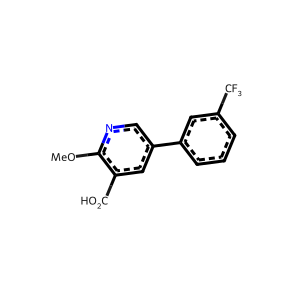 COc1ncc(-c2cccc(C(F)(F)F)c2)cc1C(=O)O